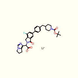 CC(C)(C)OC(=O)N1CCC(Cc2ccc(-c3cc(F)c4c(c3)C(=O)N(C(C(=O)[O-])c3ncn5c3CCC5)C4)cc2)CC1.[Li+]